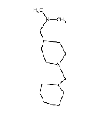 CN(C)CC1CCN(CC2CCCCC2)CC1